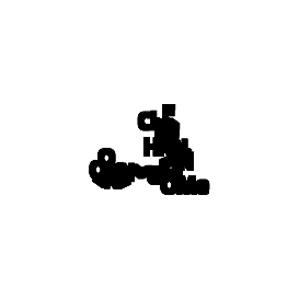 COc1cc2ncnc(Nc3ccc(F)c(Cl)c3)c2cc1OCCCN1CCN2CCOC(=O)C2C1